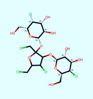 OC[C@H]1O[C@@H](OC2C(Cl)C(CCl)OC2(CCl)O[C@@H]2O[C@H](CO)[C@H](Cl)[C@H](O)[C@H]2O)[C@H](O)[C@@H](O)[C@H]1Cl